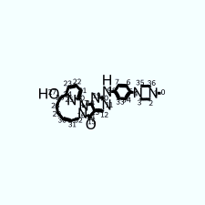 CN1CCN(c2ccc(Nc3ncc4c(=O)n5n(c4n3)-c3cccc(n3)C(O)CC/C=C\C5)cc2)CC1